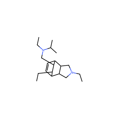 CCC1C2C=CC(C3CN(CC)CC23)C1CN(CC)C(C)C